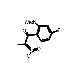 CNc1cc(F)ccc1C(=O)C(C)=S(=O)=O